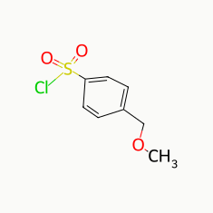 COCc1ccc(S(=O)(=O)Cl)cc1